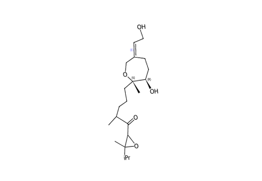 CC(CCC[C@]1(C)OC/C(=C/CO)CC[C@H]1O)C(=O)C1OC1(C)C(C)C